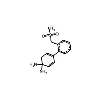 CS(=O)(=O)Cc1ccccc1C1=CCC(N)(N)C=C1